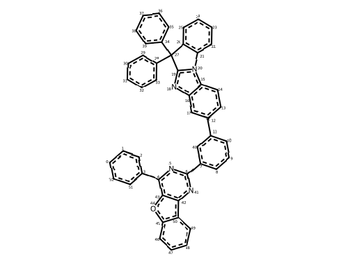 c1ccc(-c2nc(-c3cccc(-c4ccc5c(c4)nc4n5-c5ccccc5C4(c4ccccc4)c4ccccc4)c3)nc3c2oc2ccccc23)cc1